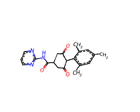 Cc1cc(C)c(C2C(=O)CC(C(=O)Nc3ncccn3)CC2=O)c(C)c1